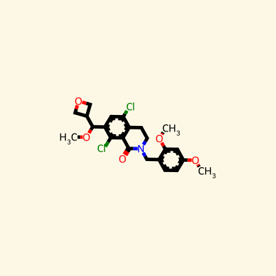 COc1ccc(CN2CCc3c(Cl)cc(C(OC)C4COC4)c(Cl)c3C2=O)c(OC)c1